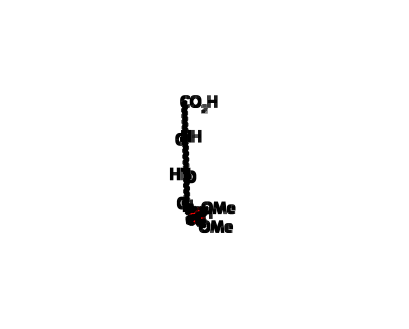 COc1ccc(C(OCC2(C)CN(C(=O)CCCCCCCCC(=O)NCCCCCCCCCCCC(=O)NCCCCCCCCCCCC(=O)O)CC2(C)CO)(c2ccccc2)c2ccc(OC)cc2)cc1